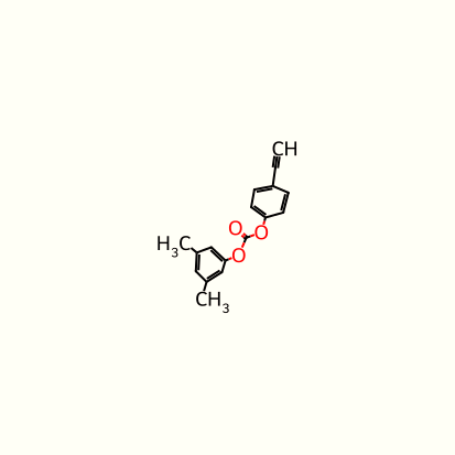 C#Cc1ccc(OC(=O)Oc2cc(C)cc(C)c2)cc1